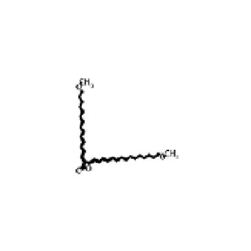 COCCCCCCCCCCCCCC/C=C1\OC(=O)C1CCCCCCCCCCCCCCOC